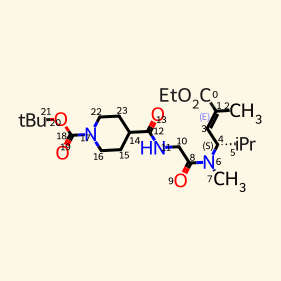 CCOC(=O)/C(C)=C/[C@H](C(C)C)N(C)C(=O)CNC(=O)C1CCN(C(=O)OC(C)(C)C)CC1